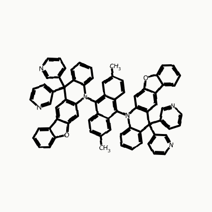 Cc1ccc2c(N3c4ccccc4C(c4cccnc4)(c4cccnc4)c4cc5c(cc43)oc3ccccc35)c3cc(C)ccc3c(N3c4ccccc4C(c4cccnc4)(c4cccnc4)c4cc5c(cc43)oc3ccccc35)c2c1